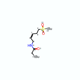 CC(C)(C)CC(=O)NC/C=C\CCS(=O)(=O)C(C)(C)C